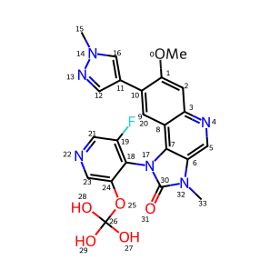 COc1cc2ncc3c(c2cc1-c1cnn(C)c1)n(-c1c(F)cncc1OC(O)(O)O)c(=O)n3C